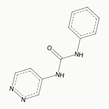 O=C(Nc1ccccc1)Nc1ccnnc1